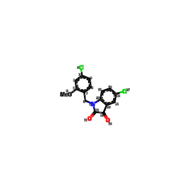 COc1cc(Cl)ccc1CN1C(=O)C(=O)c2cc(Cl)ccc21